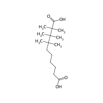 CC(C)(CCCCCC(=O)O)C(C)(C)C(C)(C)C(=O)O